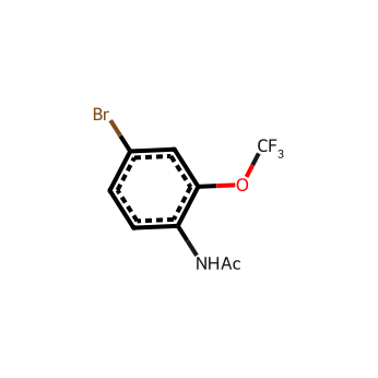 CC(=O)Nc1ccc(Br)cc1OC(F)(F)F